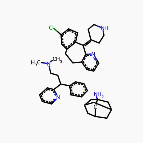 CN(C)CCC(c1ccccc1)c1ccccn1.Clc1ccc2c(c1)CCc1cccnc1C2=C1CCNCC1.NC12CC3CC(CC(C3)C1)C2